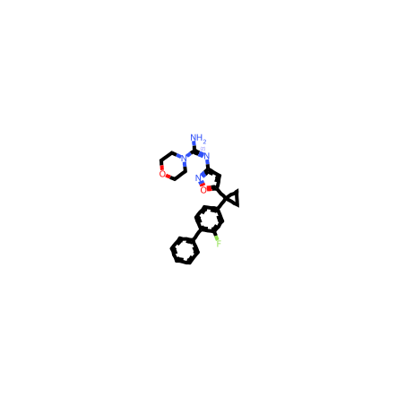 N/C(=N/c1cc(C2(c3ccc(-c4ccccc4)c(F)c3)CC2)on1)N1CCOCC1